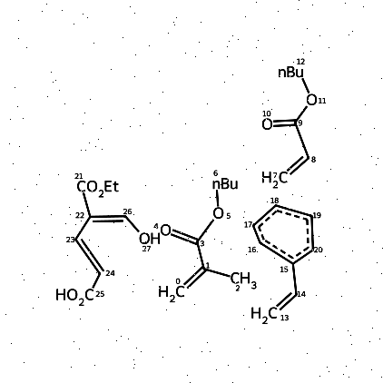 C=C(C)C(=O)OCCCC.C=CC(=O)OCCCC.C=Cc1ccccc1.CCOC(=O)C(C=CC(=O)O)=CO